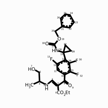 CCOC(=O)C(=CNC(C)CO)C(=O)c1cc(F)c(C2(NC(=O)OCc3ccccc3)CC2)c(F)c1F